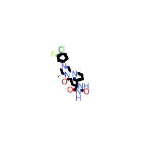 C[C@@H]1CN(c2ccc(Cl)c(F)c2)CCN1C(=O)CCC1(c2cccnc2)NC(=O)NC1=O